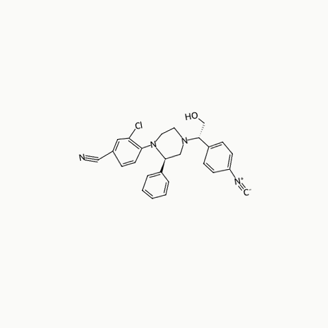 [C-]#[N+]c1ccc([C@@H](CO)N2CCN(c3ccc(C#N)cc3Cl)[C@H](c3ccccc3)C2)cc1